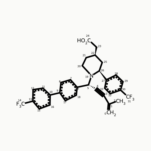 C=C(C)C#C[C@H](c1ccc(-c2ccc(C(F)(F)F)cc2)cc1)N1CC[C@@H](CC(=O)O)C[C@H]1c1ccc(C(F)(F)F)cc1